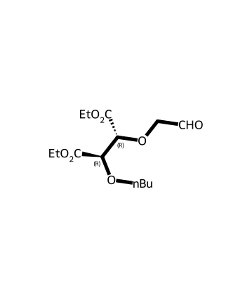 CCCCO[C@@H](C(=O)OCC)[C@@H](OCC=O)C(=O)OCC